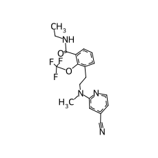 CCNC(=O)c1cccc(CCN(C)c2cc(C#N)ccn2)c1OC(F)(F)F